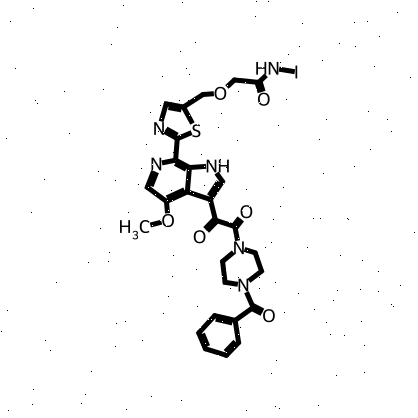 COc1cnc(-c2ncc(COCC(=O)NI)s2)c2[nH]cc(C(=O)C(=O)N3CCN(C(=O)c4ccccc4)CC3)c12